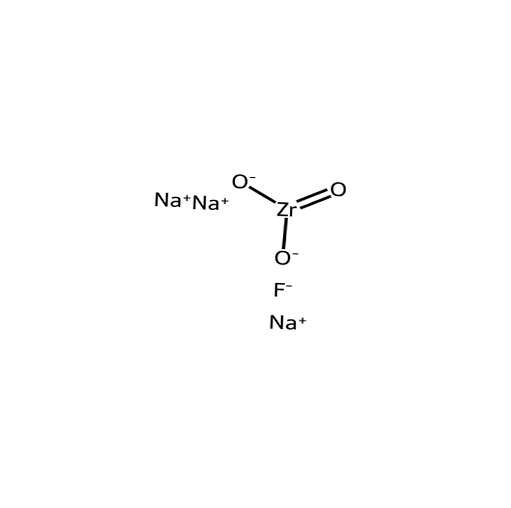 [F-].[Na+].[Na+].[Na+].[O]=[Zr]([O-])[O-]